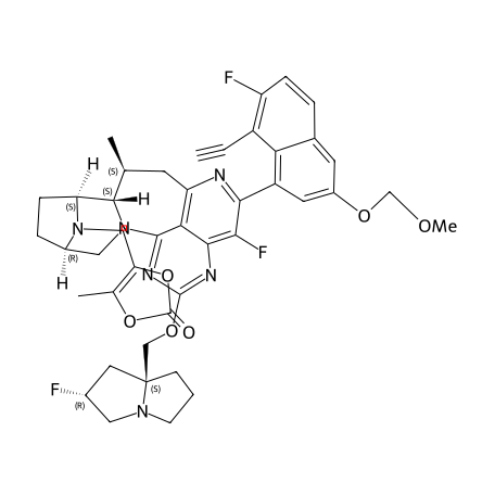 C#Cc1c(F)ccc2cc(OCOC)cc(-c3nc4c5c(nc(OC[C@@]67CCCN6C[C@H](F)C7)nc5c3F)N3C[C@H]5CC[C@@H]([C@@H]3[C@@H](C)C4)N5Cc3oc(=O)oc3C)c12